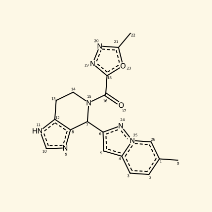 Cc1ccc2cc(C3c4nc[nH]c4CCN3C(=O)c3nnc(C)o3)nn2c1